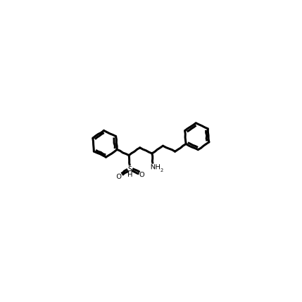 NC(CCc1ccccc1)CC(c1ccccc1)[SH](=O)=O